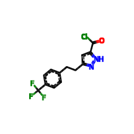 O=C(Cl)c1cc(CCc2ccc(C(F)(F)F)cc2)n[nH]1